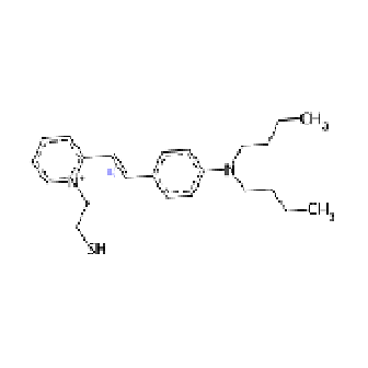 CCCCN(CCCC)c1ccc(/C=C/c2cccc[n+]2CCS)cc1